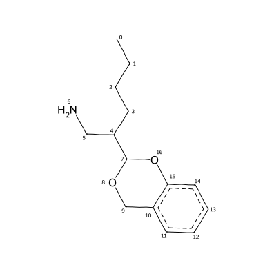 CCCCC(CN)C1OCc2ccccc2O1